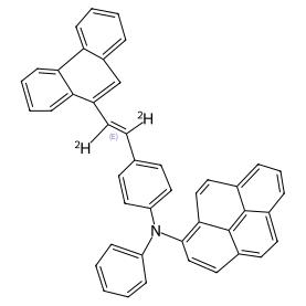 [2H]/C(=C(/[2H])c1cc2ccccc2c2ccccc12)c1ccc(N(c2ccccc2)c2ccc3ccc4cccc5ccc2c3c45)cc1